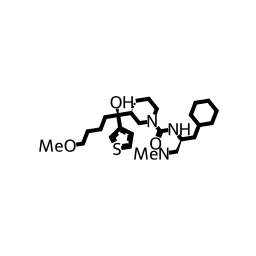 CNC[C@H](CC1CCCCC1)NC(=O)N1CCC[C@@H]([C@@](O)(CCCCOC)c2ccsc2)C1